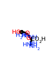 N=C(N)NCCC[C@H](NC(=O)CNC(=O)[C@@H](N)Cc1ccc(O)cc1)C(=O)O